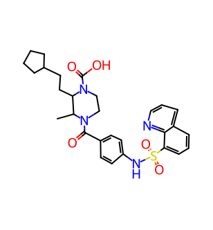 CC1C(CCC2CCCC2)N(C(=O)O)CCN1C(=O)c1ccc(NS(=O)(=O)c2cccc3cccnc23)cc1